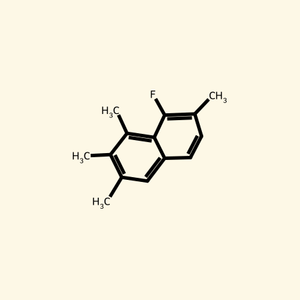 Cc1cc2ccc(C)c(F)c2c(C)c1C